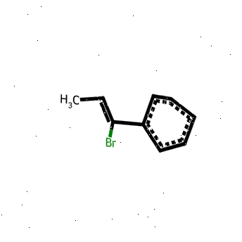 C/C=C(\Br)c1ccccc1